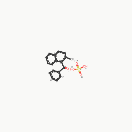 Cc1ccc2ccccc2c1C(=O)c1ccccc1.O=S(=O)(O)O